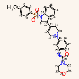 Cc1ccc(S(=O)(=O)n2cc(C3=CCN(c4ccc5oc(N6CCOCC6)nc5c4)CC3)c3ccccc32)cc1